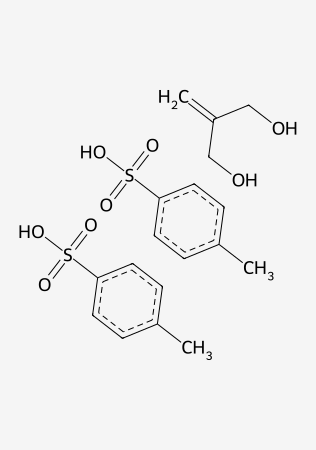 C=C(CO)CO.Cc1ccc(S(=O)(=O)O)cc1.Cc1ccc(S(=O)(=O)O)cc1